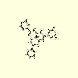 c1cncc(C2=NC3=NC(c4cccnc4)=NC4=NC(c5cccnc5)=NC(=N2)N34)c1